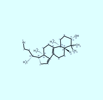 CC(=O)CC[C@@H](C)[C@H]1CC=C2C3=C(CC[C@@]21C)[C@@]1(C)CC[C@H](O)C(C)(C)[C@@H]1CC3